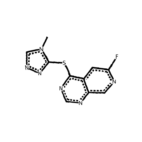 Cn1cnnc1Sc1ncnc2cnc(F)cc12